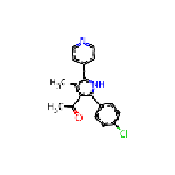 CC(=O)c1c(-c2ccc(Cl)cc2)[nH]c(-c2ccncc2)c1C